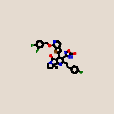 O=C1c2c(nc(CCc3ccc(F)cc3)c(-c3noc(=O)[nH]3)c2-c2cc3ccnc(OCc4ccc(F)c(F)c4)c3s2)[C@@H]2CCCN12